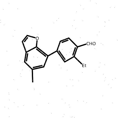 CCc1cc(-c2cc(C)cc3ccoc23)ccc1C=O